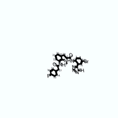 Cn1c(C(=O)Nc2ccc(Br)cc2-c2nnn[nH]2)cc2cccc(NC(=O)Cc3ccc(F)cc3)c21